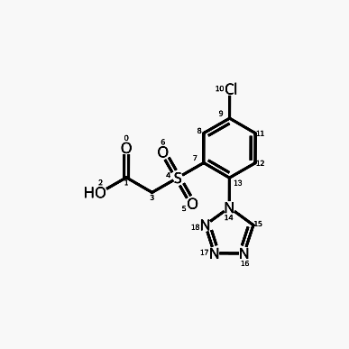 O=C(O)CS(=O)(=O)c1cc(Cl)ccc1-n1cnnn1